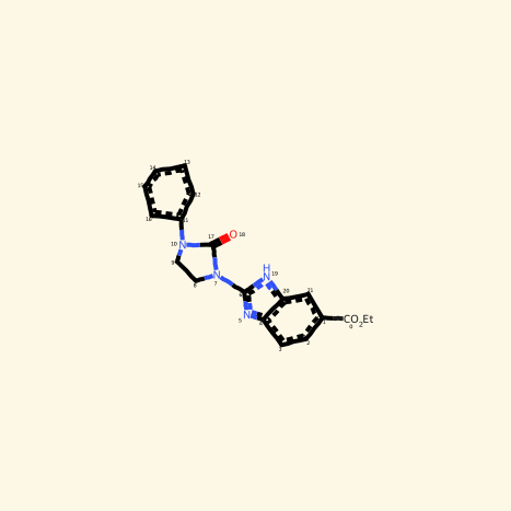 CCOC(=O)c1ccc2nc(N3CCN(c4ccccc4)C3=O)[nH]c2c1